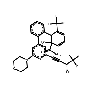 CC1(C(N)=O)C=CN=C(C(F)(F)F)C1c1ccccc1-c1cc(C#C[C@@H](O)C(F)(F)F)nc(N2CCOCC2)c1